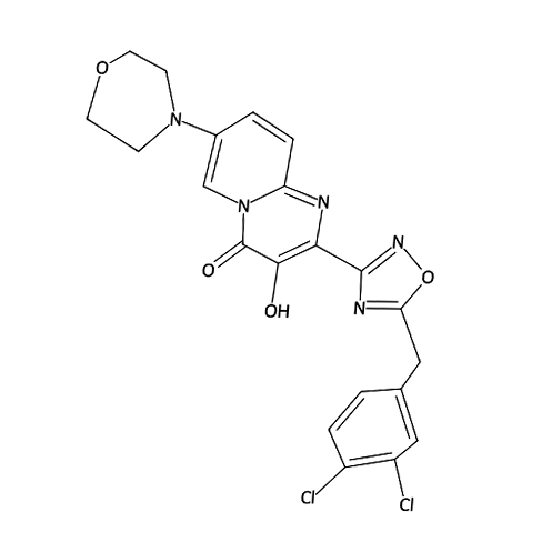 O=c1c(O)c(-c2noc(Cc3ccc(Cl)c(Cl)c3)n2)nc2ccc(N3CCOCC3)cn12